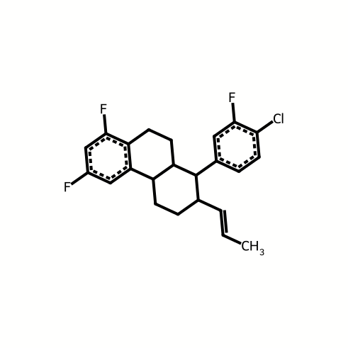 CC=CC1CCC2c3cc(F)cc(F)c3CCC2C1c1ccc(Cl)c(F)c1